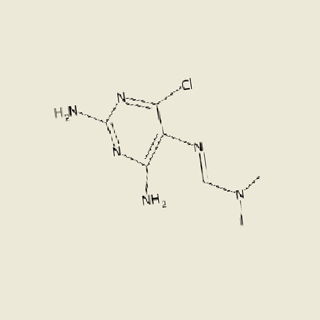 CN(C)C=Nc1c(N)nc(N)nc1Cl